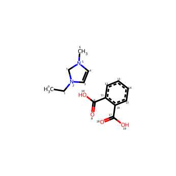 CCN1C=CN(C)C1.O=C(O)c1ccccc1C(=O)O